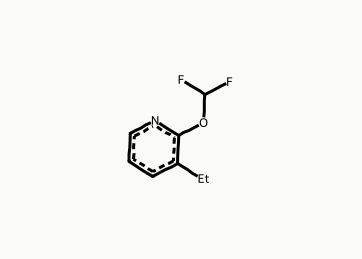 [CH2]Cc1cccnc1OC(F)F